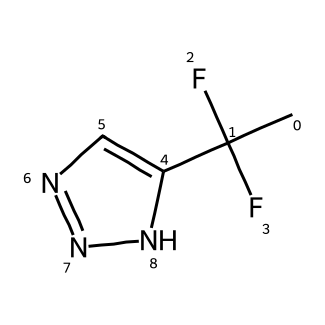 CC(F)(F)c1cnn[nH]1